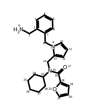 NCc1ccccc1Cn1cccc1CN(C(=O)c1ccco1)C1CCCCC1